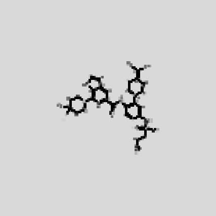 O=C(Nc1ccc(NS(=O)(=O)CCO)cc1N1CCC(=C(F)F)CC1)c1cc2ccoc2c(N2CCC(F)(F)CC2)n1